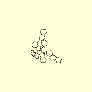 C[SiH](C)[Zr]([Cl])([Cl])([CH]1C(CC2(C)CCCCC2)=Cc2c(-c3ccc4ccccc4c3)cccc21)[CH]1C(CC2(C)CCCCC2)=Cc2c(-c3ccc4ccccc4c3)cccc21